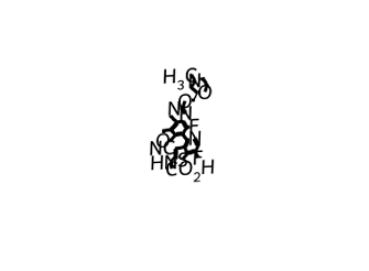 CN1CCO[C@@H](COc2ncc3c4c(c(-c5ncc(F)c6sc(NC(=O)O)c(C#N)c56)c(F)c3n2)COC4)C1